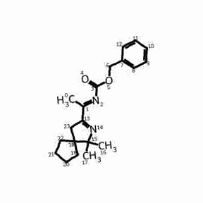 C/C(=N\C(=O)OCc1ccccc1)C1=NC(C)(C)C2(CCCC2)C1